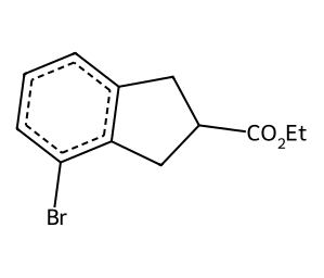 CCOC(=O)C1Cc2cccc(Br)c2C1